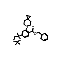 CC1(C)OCC(C)(c2ccc(C(=O)OCc3ccccc3)c(N3CCC4(CC3)CC4)c2)O1